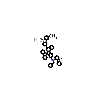 Cc1ccc2c(c1)c1cc(-c3cc4c(c5ccccc35)-c3ccc(/C=C(/Cc5ccccc5)c5cccc6oc7ccccc7c56)cc3C4(c3ccccc3)c3ccccc3)ccc1n2C